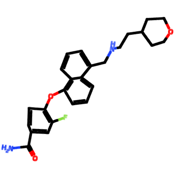 NC(=O)c1ccc(Oc2cccc3c(CNCCC4CCOCC4)cccc23)c(F)c1